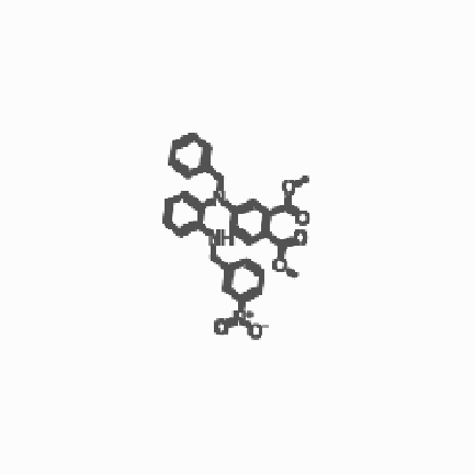 COC(=O)c1ccc(N(Cc2ccccc2)c2ccccc2NCc2cccc([N+](=O)[O-])c2)cc1C(=O)OC